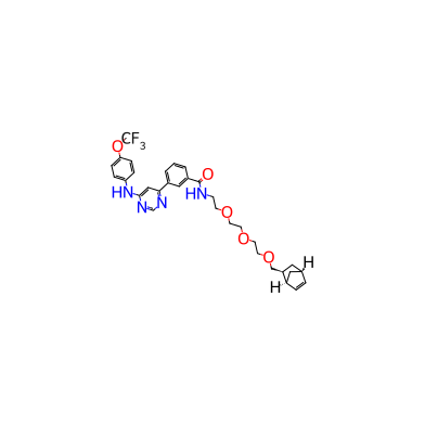 O=C(NCCOCCOCCOC[C@H]1C[C@@H]2C=C[C@@H]1C2)c1cccc(-c2cc(Nc3ccc(OC(F)(F)F)cc3)ncn2)c1